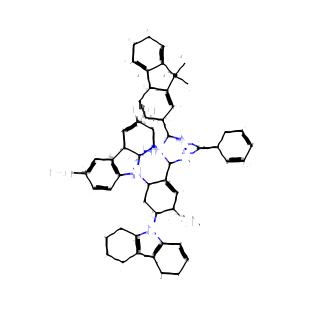 CC(C)(C)C1=CC2c3cc(C(C)(C)C)ccc3N(C3CC(n4c5c(c6c4CCCC6)CCC=C5)C(C#N)C=C3C3NC(C4C=C5C(CC4)C4=CCCC=C4C5(C)C)N4C(C5C=CC=CC5)N34)C2CC1